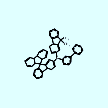 CC1(C)C2=CC(N(C3=CCC4C(=C3)C3(c5ccccc54)C4C=CC=CC4C4C=CC=CC43)c3cccc(-c4ccccc4)c3)=CCC2c2ccccc21